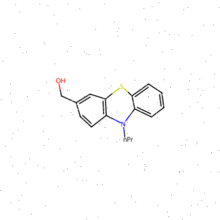 CCCN1c2ccccc2Sc2cc(CO)ccc21